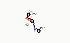 CCN(CCCCc1ccc(-c2oc3c(OC)c(O)ccc3c(=O)c2O)cc1)Cc1ccccc1OC.Cl